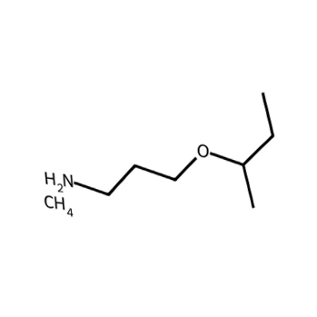 C.CCC(C)OCCCN